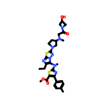 CCc1nc2sc(N3CCC(N(C)CC(=O)N4CC(O)C4)C3)nn2c1N(C)c1nc(-c2ccc(C)cc2)c(C(=O)OC)s1